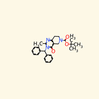 Cc1nc2c(c(=O)n1C(c1ccccc1)c1ccccc1)CN(C(=O)OC(C)(C)C)CC2